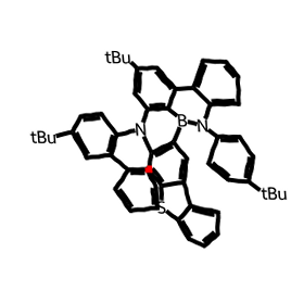 CC(C)(C)c1ccc(N2B3c4cc5c(cc4N(c4ccc(C(C)(C)C)cc4-c4ccccc4)c4cc(C(C)(C)C)cc(c43)-c3ccccc32)sc2ccccc25)cc1